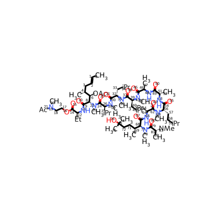 C/C=C/C[C@@H](C)[C@@H](OC(C)=O)[C@@H](C(=O)N[C@@H](CC)C(=O)OCCN(C)C(C)=O)N(C)C(=O)[C@H](C(C)C)N(C)C(=O)[C@H](CC(C)C)N(C)C(=O)[C@H](CC(C)C)N(C)C(=O)[C@@H](C)NC(=O)[C@H](C)NC(=O)[C@H](CCC(C)C)N(C)C(=O)[C@@H](NC(=O)[C@H]([C@H](C)CCC(C)(C)O)N(C)C(=O)[C@@H](C)NC)C(C)C